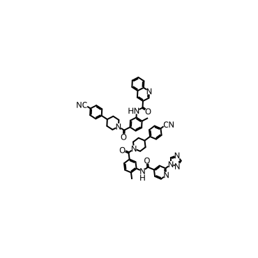 Cc1ccc(C(=O)N2CCC(c3ccc(C#N)cc3)CC2)cc1NC(=O)c1ccnc(-n2cncn2)c1.Cc1ccc(C(=O)N2CCC(c3ccc(C#N)cc3)CC2)cc1NC(=O)c1cnc2ccccc2c1